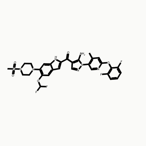 Cc1cc(Oc2c(F)cccc2F)ncc1-n1ncc(C(=O)c2cc3cc(OC(F)F)c(N4CCN(S(C)(=O)=O)CC4)cc3[nH]2)c1N